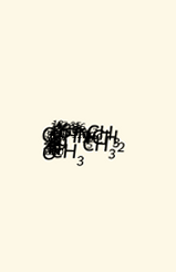 C=CCC(CC)(CC)NCc1ccc(CSc2cccc3c2CN(C2CCC(=O)N(C)C2=O)C3=O)cc1